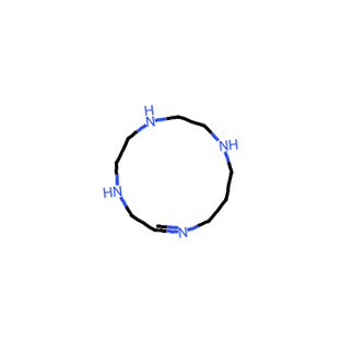 C1=NCCCNCCNCCNC1